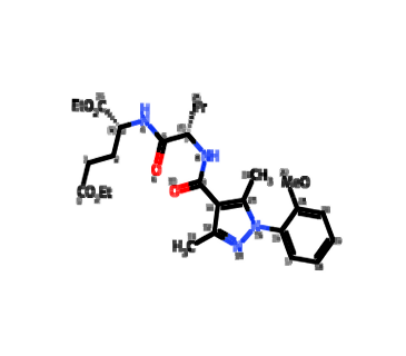 CCOC(=O)CC[C@@H](NC(=O)[C@@H](NC(=O)c1c(C)nn(-c2ccccc2OC)c1C)C(C)C)C(=O)OCC